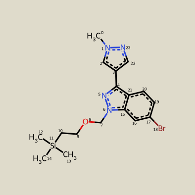 Cn1cc(-c2nn(COCC[Si](C)(C)C)c3cc(Br)ccc23)cn1